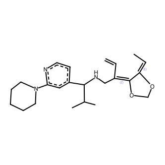 C=C/C(CNC(c1ccnc(N2CCCCC2)c1)C(C)C)=C1/OCO/C1=C/C